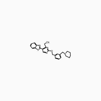 N#CCc1nc(OCc2cccc(CN3CCCCC3)c2)ncc1-c1nc2ccccc2s1